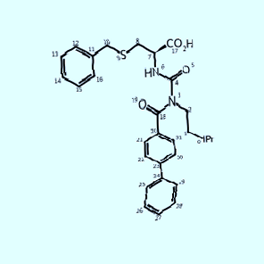 CC(C)CCN(C(=O)N[C@@H](CSCc1ccccc1)C(=O)O)C(=O)c1ccc(-c2ccccc2)cc1